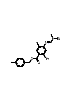 CCN(C)/C=N/c1cc(C(C)C)c(C(=O)OCc2ccc(C)cc2)cc1C